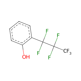 Oc1ccccc1C(F)(F)C(F)(F)C(F)(F)F